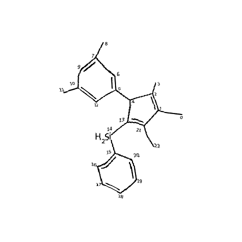 CC1=C(C)C(c2cc(C)cc(C)c2)C([SiH2]c2ccccc2)=C1C